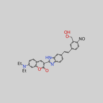 CCN(CC)c1ccc2cc(-c3nc4ccc(/C=C/c5ccc(N=O)c(COO)c5)cc4[nH]3)c(=O)oc2c1